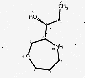 CC[C@H](O)C1COCCCN1